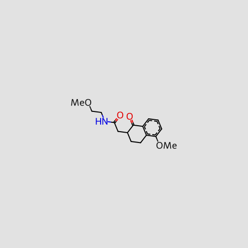 COCCNC(=O)CC1CCc2c(OC)cccc2C1=O